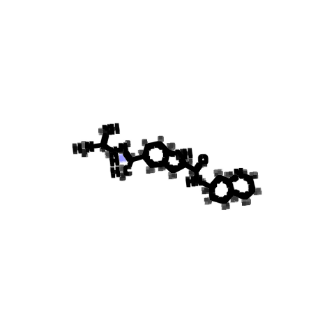 C/C(=N\NC(=N)N)c1ccc2[nH]c(C(=O)Nc3ccc4cccnc4c3)cc2c1